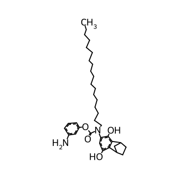 CCCCCCCCCCCCCCCCCCN(C(=O)Oc1cccc(N)c1)c1cc(O)c2c(c1O)C1CCC2C1